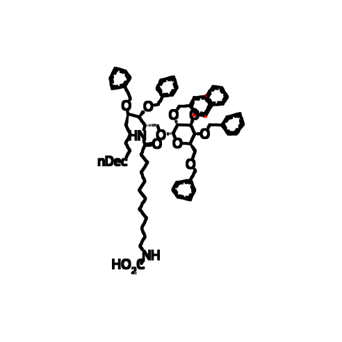 CCCCCCCCCCCCCC[C@@H](OCc1ccccc1)[C@@H](OCc1ccccc1)[C@H](CO[C@H]1O[C@H](COCc2ccccc2)[C@H](OCc2ccccc2)[C@H](OCc2ccccc2)[C@H]1OCc1ccccc1)NC(=O)CCCCCCCCCCCNC(=O)O